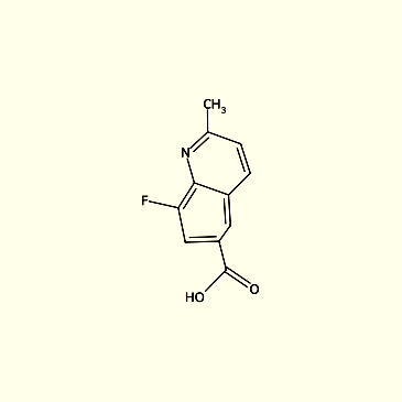 Cc1ccc2cc(C(=O)O)cc(F)c2n1